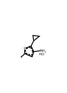 Cc1cc(N)c(C2CC2)s1.Cl